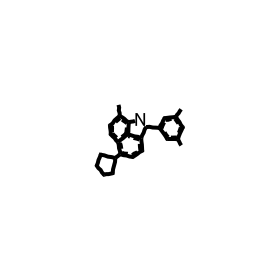 Cc1cc(C)cc(C2=Nc3c(C)ccc4c(C5CCCC5)ccc2c34)c1